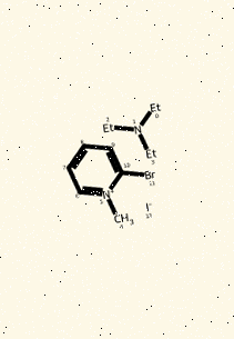 CCN(CC)CC.C[n+]1ccccc1Br.[I-]